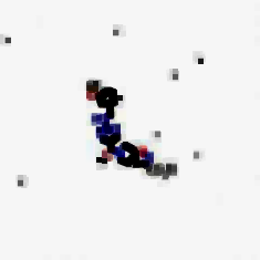 O=C(O)C1=NOC2(CCN(C(=O)c3cnc(NCc4cccc(OC(F)(F)F)c4)nc3)CC2)C1